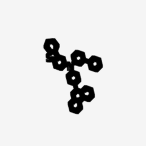 c1ccc(-c2cccc(N(c3ccc(-c4cc5ccccc5c5ccccc45)cc3)c3ccc4sc5ccccc5c4c3)c2)cc1